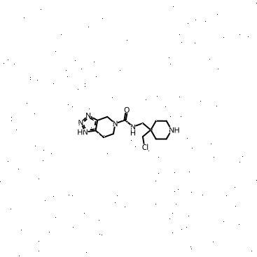 O=C(NCC1(CCl)CCNCC1)N1CCc2[nH]nnc2C1